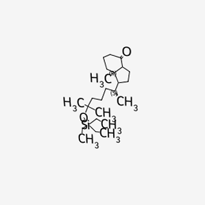 CC[Si](CC)(CC)OC(C)(C)CCC[C@H](C)C1CCC2C(=O)CCC[C@@]21C